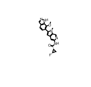 COc1c(-c2cc3cc(NC(=O)[C@@H]4C[C@@H]4F)ncc3n2C)ccc2cn[nH]c12